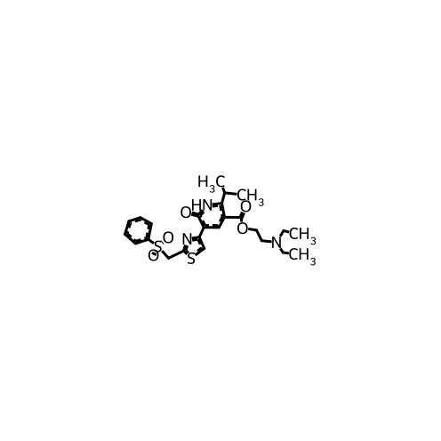 CCN(CC)CCOC(=O)c1cc(-c2csc(CS(=O)(=O)c3ccccc3)n2)c(=O)[nH]c1C(C)C